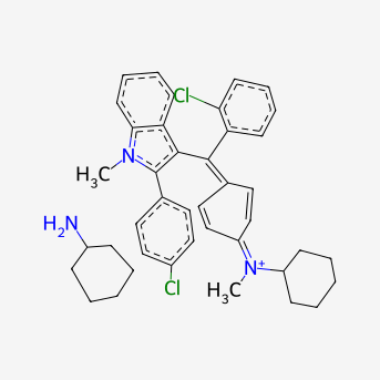 Cn1c(-c2ccc(Cl)cc2)c(C(=C2C=CC(=[N+](C)C3CCCCC3)C=C2)c2ccccc2Cl)c2ccccc21.NC1CCCCC1